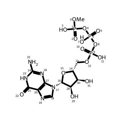 COP(=O)(O)OP(=O)(O)OP(=O)(O)OC[C@H]1O[C@@H](n2cnc3c(=O)[nH]c(N)nc32)[C@H](O)[C@@H]1O